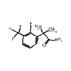 CC(N)(C(N)=O)c1cccc(C(F)(F)F)c1F